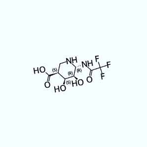 O=C(O)[C@H]1CN[C@H](NC(=O)C(F)(F)F)[C@@H](O)[C@H]1O